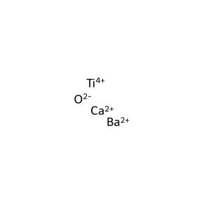 [Ba+2].[Ca+2].[O-2].[Ti+4]